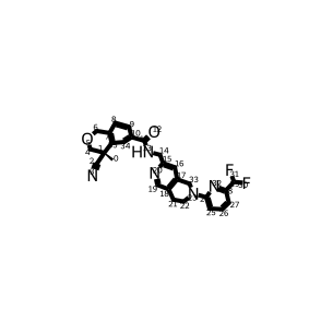 C[C@@]1(C#N)COCc2ccc(C(=O)NCc3cc4c(cn3)CCN(c3cccc(C(F)F)n3)C4)cc21